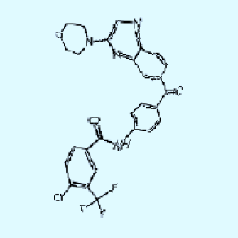 O=C(Nc1ccc(C(=O)c2ccc3ncc(N4CCOCC4)nc3c2)cc1)c1ccc(Cl)c(C(F)(F)F)c1